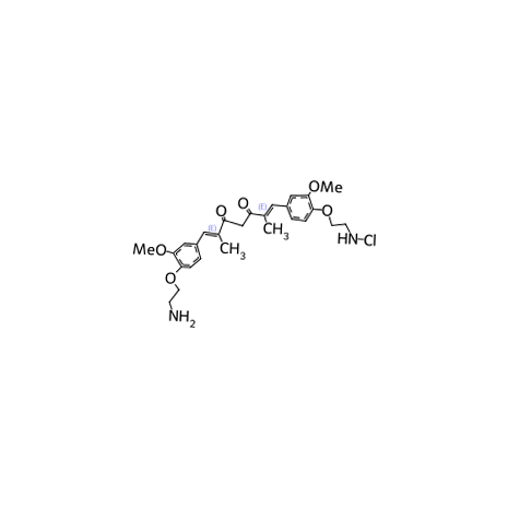 COc1cc(/C=C(\C)C(=O)CC(=O)/C(C)=C/c2ccc(OCCNCl)c(OC)c2)ccc1OCCN